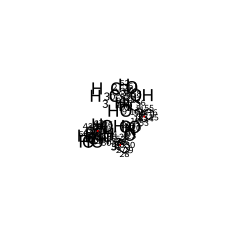 CC1(C)[C@@H]2C[C@@H]1[C@H](c1c(O)cc(C34CC5CC(CC(CO[N+](=O)OCC67CC8CC(C6)CC(c6cc(O)c([C@@H]9CC(=O)[C@H]%10C[C@H]9C%10(C)C)c(O)c6)(C8)C7)(C5)C3)C4)cc1O)CC2=O